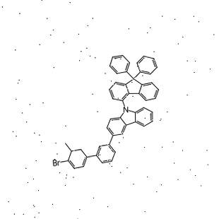 CC1CC(c2cccc(-c3ccc4c(c3)c3ccccc3n4-c3cccc4c3-c3ccccc3C4(c3ccccc3)c3ccccc3)c2)=CC=C1Br